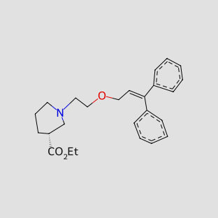 CCOC(=O)[C@@H]1CCCN(CCOCC=C(c2ccccc2)c2ccccc2)C1